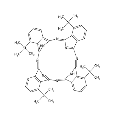 C[Si](C)(C)c1cccc2c1-c1nc-2nc2[nH]c(nc3nc(nc4[nH]c(n1)c1cccc([Si](C)(C)C)c41)-c1cccc([Si](C)(C)C)c1-3)c1cccc([Si](C)(C)C)c21